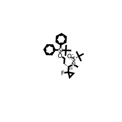 CN([C@@H](CCO[Si](c1ccccc1)(c1ccccc1)C(C)(C)C)C1(F)CC1)[S@+]([O-])C(C)(C)C